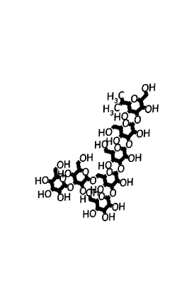 CC(C)C1OC(CO)C(O)C(OC2OC(CO)C(O)C(OC3OC(CO)C(O)C(OC4OC(COC5OC(CO)C(O)C(OC6OC(CO)C(O)C(O)C6O)C5O)C(O)C(OC5OC(CO)C(O)C(O)C5O)C4O)C3O)C2O)C1O